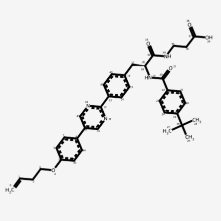 C=CCCOc1ccc(-c2cnc(-c3ccc(C[C@H](NC(=O)c4ccc(C(C)(C)C)cc4)C(=O)NCCC(=O)O)cc3)nc2)cc1